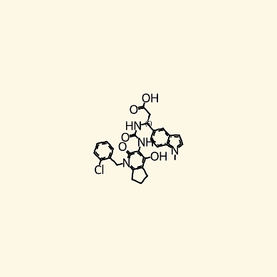 Cn1ccc2cc([C@H](CC(=O)O)NC(=O)Nc3c(O)c4c(n(Cc5ccccc5Cl)c3=O)CCC4)ccc21